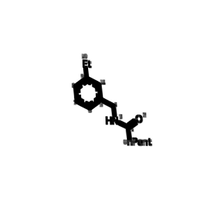 CCCCCC(=O)NCc1cccc(CC)c1